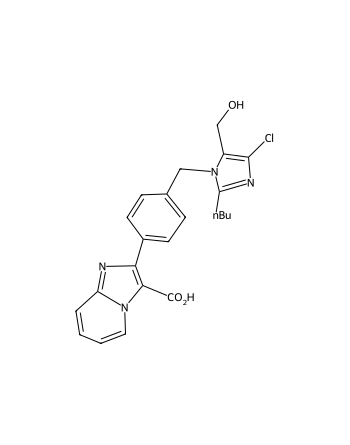 CCCCc1nc(Cl)c(CO)n1Cc1ccc(-c2nc3ccccn3c2C(=O)O)cc1